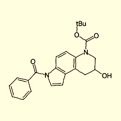 CC(C)(C)OC(=O)N1CC(O)Cc2c1ccc1c2ccn1C(=O)c1ccccc1